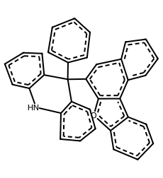 c1ccc(C2(c3cc4ccccc4c4c3oc3ccccc34)c3ccccc3Nc3ccccc32)cc1